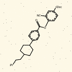 CCCCCCCCCCc1ccc(OC(=O)c2ccc(C3CCC(CCC(C)C)CC3)cc2)c(C#N)c1